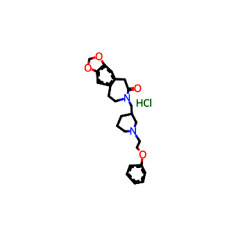 Cl.O=C1Cc2cc3c(cc2CCN1CC1CCCN(CCOc2ccccc2)C1)OCO3